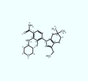 CCc1nn(-c2ccc(C(N)=O)c(NC3CCOCC3)c2F)c2c1CCC(C)(C)C2